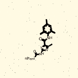 CCCCCC(=O)Nc1nc(C)c(C(=O)Nc2c(C)cc(C)cc2C)s1